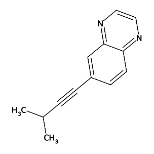 CC(C)C#Cc1ccc2nccnc2c1